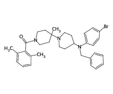 Cc1cccc(C)c1C(=O)N1CCC(C)(N2CCC(N(Cc3ccccc3)c3ccc(Br)cc3)CC2)CC1